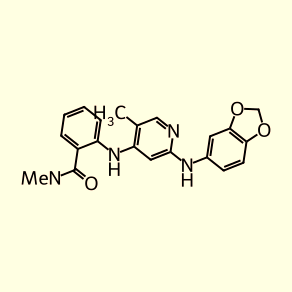 CNC(=O)c1ccccc1Nc1cc(Nc2ccc3c(c2)OCO3)ncc1C